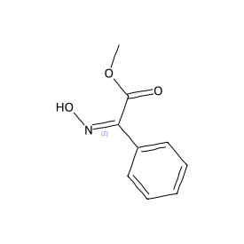 COC(=O)/C(=N\O)c1ccccc1